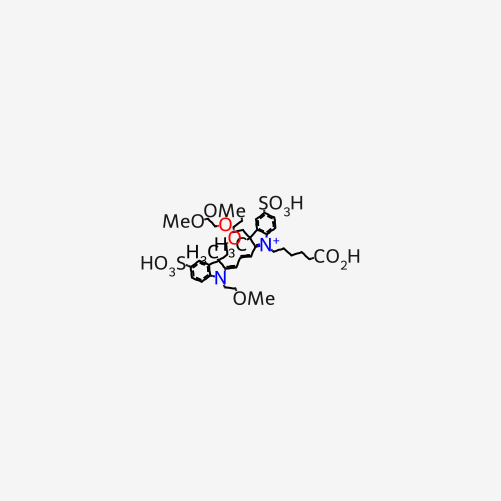 COCCOCCC1(C)C(/C=C/C=C2/N(CCOC)c3ccc(S(=O)(=O)O)cc3C2(C)CCOCCOC)=[N+](CCCCCC(=O)O)c2ccc(S(=O)(=O)O)cc21